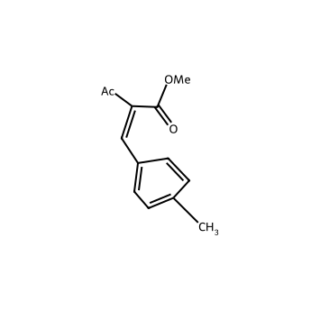 COC(=O)C(=Cc1ccc(C)cc1)C(C)=O